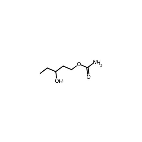 CCC(O)CCOC(N)=O